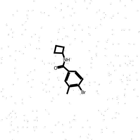 Cc1cc(C(=O)NC2CCC2)ccc1Br